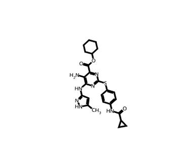 Cc1cc(Nc2nc(Sc3ccc(NC(=O)C4CC4)cc3)nc(C(=O)OC3CCCCC3)c2N)n[nH]1